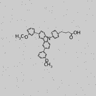 COc1cccc(-c2ccc3c(c2)c2cc(-c4cccc(OC)c4)ccc2n3-c2ccc(CCCC(=O)O)cc2)c1